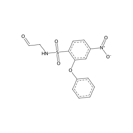 O=CCNS(=O)(=O)c1ccc([N+](=O)[O-])cc1Oc1ccccc1